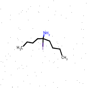 CCCCC(N)(I)CCCC